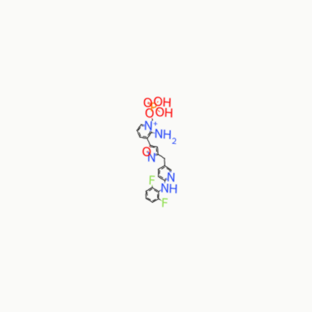 Nc1c(-c2cc(Cc3ccc(Nc4c(F)cccc4F)nc3)no2)ccc[n+]1COP(=O)(O)O